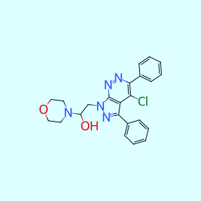 OC(Cn1nc(-c2ccccc2)c2c(Cl)c(-c3ccccc3)nnc21)N1CCOCC1